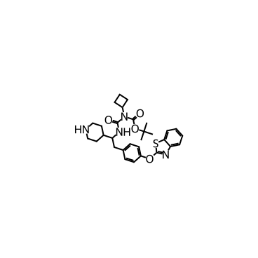 CC(C)(C)OC(=O)N(C(=O)NC(Cc1ccc(Oc2nc3ccccc3s2)cc1)C1CCNCC1)C1CCC1